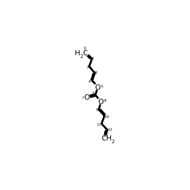 C=CCC=COC(=O)OC=CCC=C